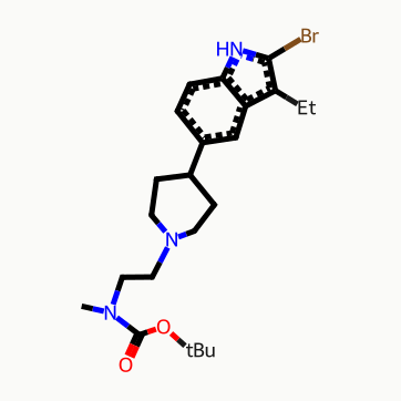 CCc1c(Br)[nH]c2ccc(C3CCN(CCN(C)C(=O)OC(C)(C)C)CC3)cc12